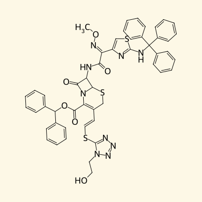 CON=C(C(=O)NC1C(=O)N2C(C(=O)OC(c3ccccc3)c3ccccc3)=C(C=CSc3nnnn3CCO)CSC12)c1csc(NC(c2ccccc2)(c2ccccc2)c2ccccc2)n1